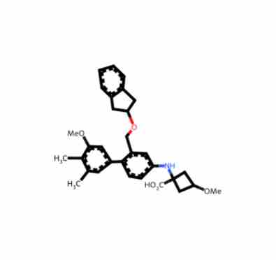 COc1cc(-c2ccc(NC3(C(=O)O)CC(OC)C3)cc2COC2Cc3ccccc3C2)cc(C)c1C